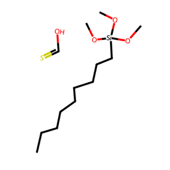 CCCCCCCCC[Si](OC)(OC)OC.OC=S